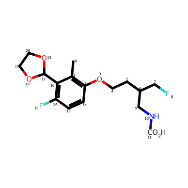 Cc1c(OCCC(CF)CNC(=O)O)ccc(F)c1C1OCCO1